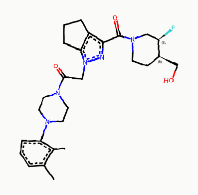 Cc1cccc(N2CCN(C(=O)Cn3nc(C(=O)N4CC[C@H](CO)[C@H](F)C4)c4c3CCC4)CC2)c1C